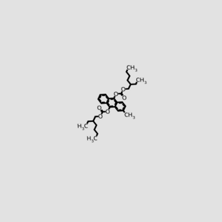 CCCCC(CC)COC(=O)Oc1c2ccccc2c(OC(=O)OCC(CC)CCCC)c2cc(C)ccc12